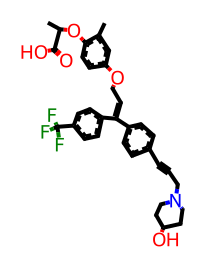 Cc1cc(OCC=C(c2ccc(C#CCN3CCC(O)CC3)cc2)c2ccc(C(F)(F)F)cc2)ccc1OC(C)C(=O)O